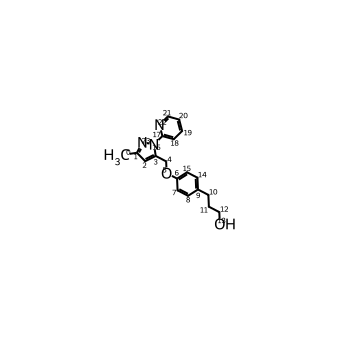 Cc1cc(COc2ccc(CCCO)cc2)n(-c2ccccn2)n1